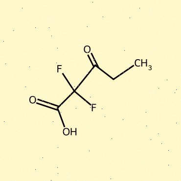 CCC(=O)C(F)(F)C(=O)O